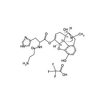 CN1CC[C@]23c4c5ccc(O)c4O[C@H]2C(OC(=O)C(Cc2c[nH]cn2)NC(=O)CCN)=CC[C@@]3(O)[C@H]1C5.O=C(O)C(F)(F)F